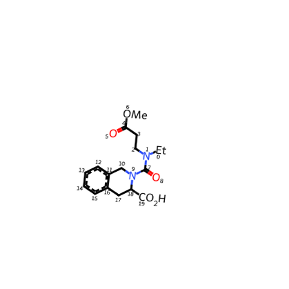 CCN(CCC(=O)OC)C(=O)N1Cc2ccccc2CC1C(=O)O